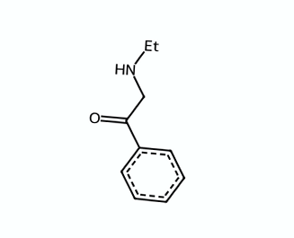 [CH2]CNCC(=O)c1ccccc1